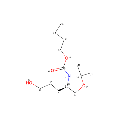 CCCCOC(=O)N1[C@H](CCCO)COC1(C)C